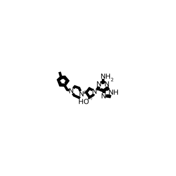 Cc1ccc(CN2CCN([C@@H]3CN(c4nc(N)nc5[nH]cnc45)C[C@H]3O)CC2)cc1